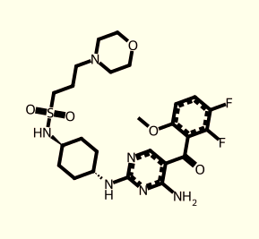 COc1ccc(F)c(F)c1C(=O)c1cnc(N[C@H]2CC[C@H](NS(=O)(=O)CCCN3CCOCC3)CC2)nc1N